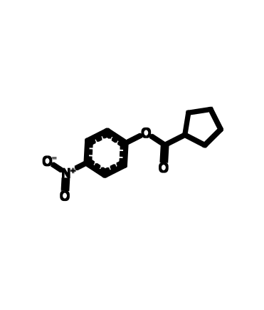 O=C(Oc1ccc([N+](=O)[O-])cc1)C1CCCC1